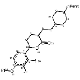 CCCCCC1CCC(CCC2CCC(c3ccc(OCC)c(F)c3F)OC2=O)CC1